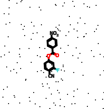 N#Cc1ccc(OC(=O)c2ccc([N+](=O)[O-])cc2)cc1F